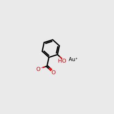 O=C([O-])c1ccccc1O.[Au+]